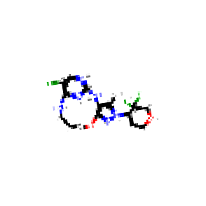 Cc1c2c(nn1C1CCOCC1(F)F)OCCCNc1nc(ncc1Cl)N2